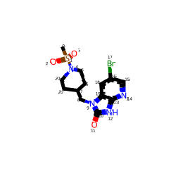 CS(=O)(=O)N1CCC(Cn2c(=O)[nH]c3ncc(Br)cc32)CC1